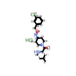 CN[C@@H](CC(C)C)C(=O)N1CCC(=NOCc2cccc(Cl)c2)CC1.Cl